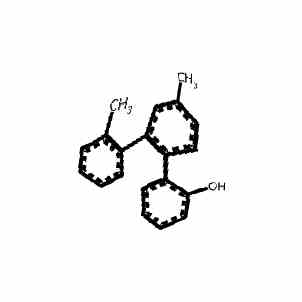 Cc1ccc(-c2ccccc2O)c(-c2ccccc2C)c1